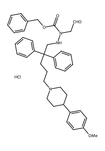 COc1ccc(C2CCN(CCCC(CNN(CC=O)C(=O)OCc3ccccc3)(c3ccccc3)c3ccccc3)CC2)cc1.Cl